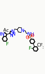 CC(=O)c1[nH]c2ccc(F)cc2c1-c1cn(CC2CCN(CCNS(=O)(=O)c3ccc(-c4c(F)cccc4C(F)(F)F)cc3)CC2)nn1